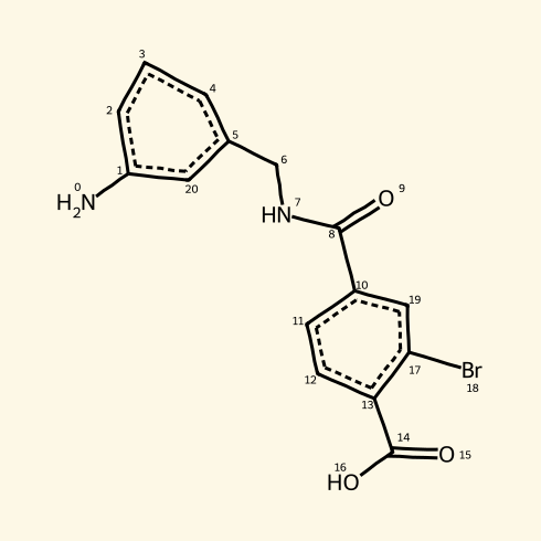 Nc1cccc(CNC(=O)c2ccc(C(=O)O)c(Br)c2)c1